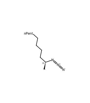 [CH2][C@@H](CCCCCCCCC)N=[N+]=[N-]